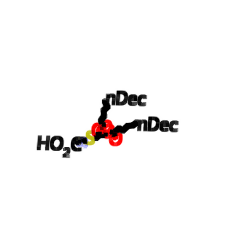 CCCCCCCCCCCCCCCC(=O)OCC(CS/C=C/C(=O)O)OC(=O)CCCCCCCCCCCCCCC